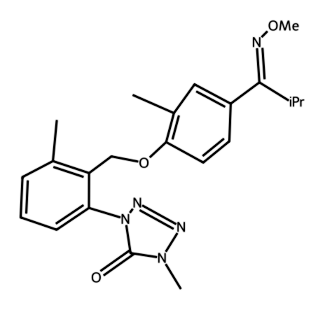 CON=C(c1ccc(OCc2c(C)cccc2-n2nnn(C)c2=O)c(C)c1)C(C)C